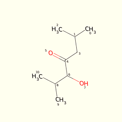 CC(C)CC(=O)C(O)C(C)C